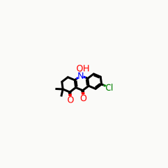 CC1(C)CCc2c(c(=O)c3cc(Cl)ccc3n2O)C1=O